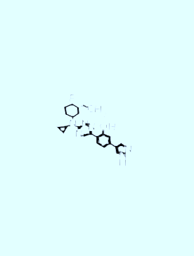 CC[C@@H]1C[C@@H](N(c2ncc(-c3ccc(-c4cn[nH]c4)cc3O)nn2)C2CC2)CC[C@@H]1F